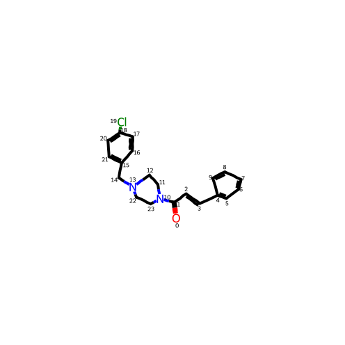 O=C(C=Cc1ccccc1)N1CCN(Cc2ccc(Cl)cc2)CC1